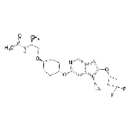 CC(=O)N[C@@H](C)CO[C@H]1CC[C@H](Oc2cc3c(cn2)nc(OC2CC(F)(F)C2)n3C2CC2)CC1